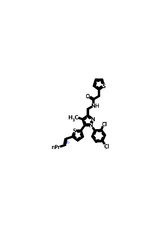 CCC/C=C/c1ccc(-c2c(C)c(CNC(=O)Cc3cccs3)nn2-c2ccc(Cl)cc2Cl)s1